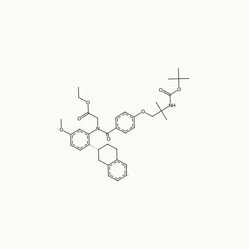 CCOC(=O)CN(C(=O)c1ccc(OCC(C)(C)NC(=O)OC(C)(C)C)cc1)c1cc(OC)ccc1[C@@H]1CCc2c[c]ccc2C1